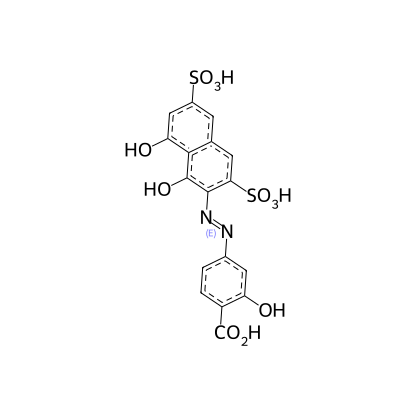 O=C(O)c1ccc(/N=N/c2c(S(=O)(=O)O)cc3cc(S(=O)(=O)O)cc(O)c3c2O)cc1O